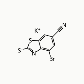 N#Cc1cc(Br)c2nc([S-])sc2c1.[K+]